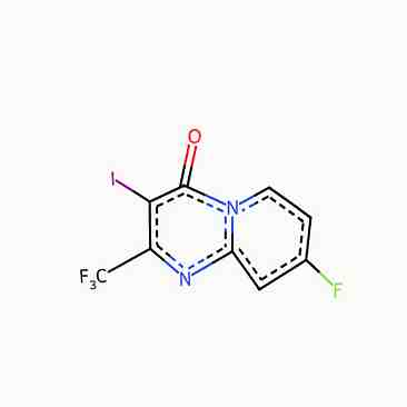 O=c1c(I)c(C(F)(F)F)nc2cc(F)ccn12